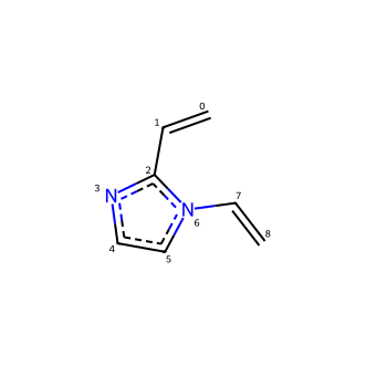 C=Cc1nccn1C=C